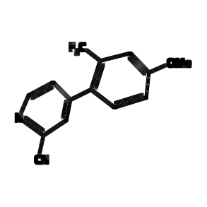 COc1ccc(-c2ccnc(C#N)c2)c(C(F)(F)F)c1